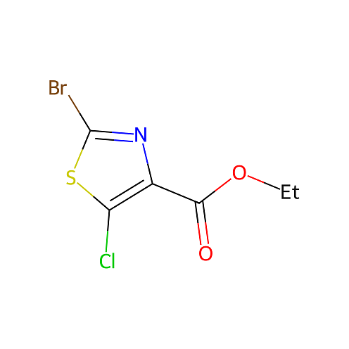 CCOC(=O)c1nc(Br)sc1Cl